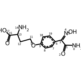 NC(=O)C(=NO)c1ccc(OCCC(N)C(=O)O)cc1